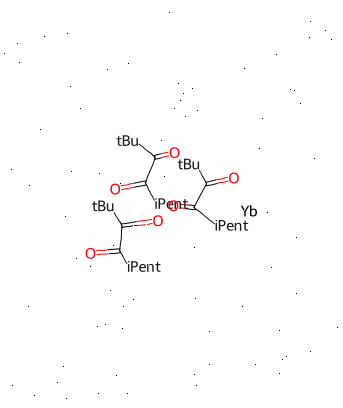 CCCC(C)C(=O)C(=O)C(C)(C)C.CCCC(C)C(=O)C(=O)C(C)(C)C.CCCC(C)C(=O)C(=O)C(C)(C)C.[Yb]